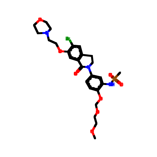 COCCOCOc1ccc(N2CCc3cc(Br)c(OCCN4CCOCC4)cc3C2=O)cc1NS(C)(=O)=O